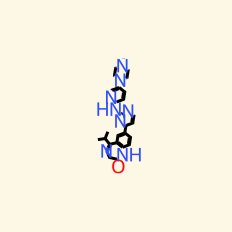 CC(C)C1=NCC(=O)Nc2ccc(-c3ccnc(Nc4ccc(N5CCN(C)CC5)cn4)n3)cc21